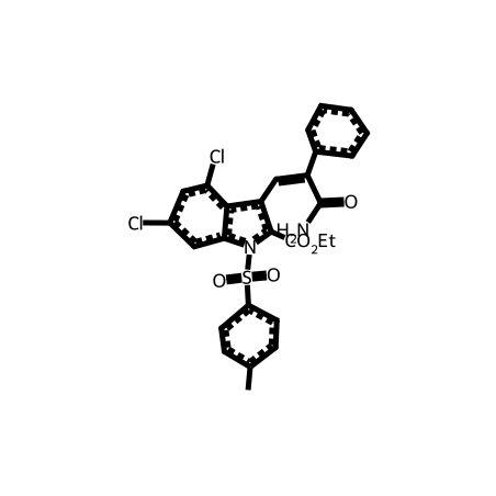 CCOC(=O)c1c(C=C(C(N)=O)c2ccccc2)c2c(Cl)cc(Cl)cc2n1S(=O)(=O)c1ccc(C)cc1